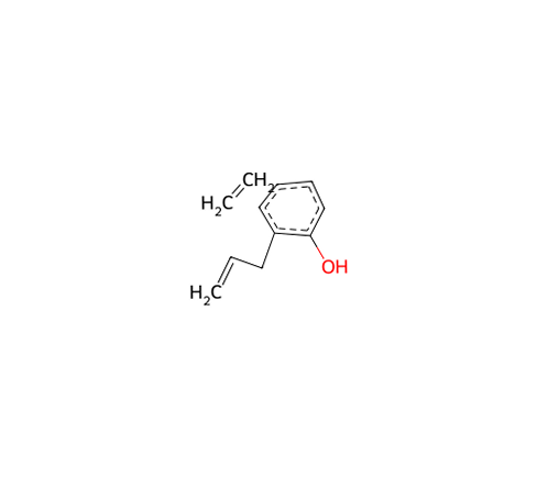 C=C.C=CCc1ccccc1O